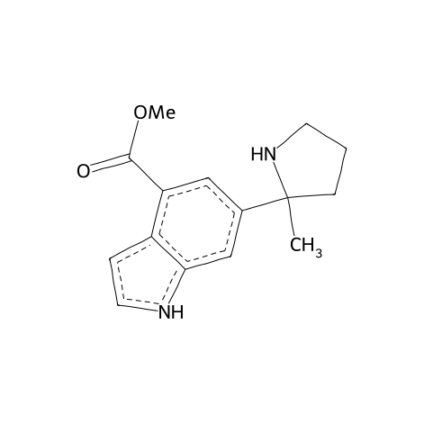 COC(=O)c1cc(C2(C)CCCN2)cc2[nH]ccc12